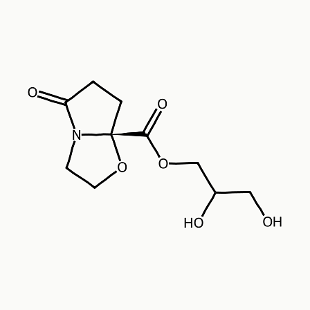 O=C1CC[C@]2(C(=O)OCC(O)CO)OCCN12